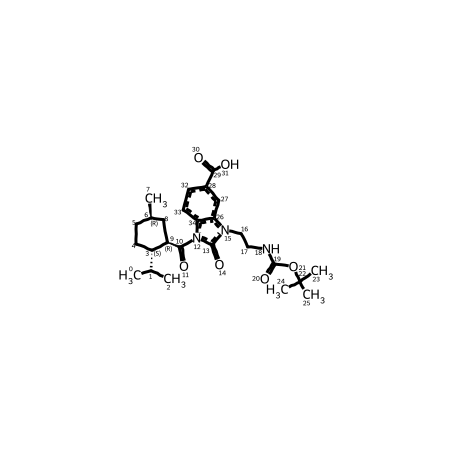 CC(C)[C@@H]1CC[C@@H](C)C[C@H]1C(=O)n1c(=O)n(CCNC(=O)OC(C)(C)C)c2cc(C(=O)O)ccc21